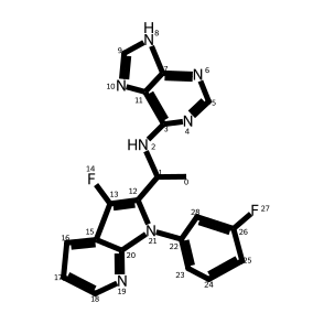 CC(Nc1ncnc2[nH]cnc12)c1c(F)c2cccnc2n1-c1cccc(F)c1